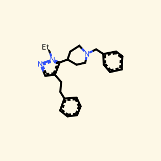 CCn1ncc(CCc2ccccc2)c1C1CCN(Cc2ccccc2)CC1